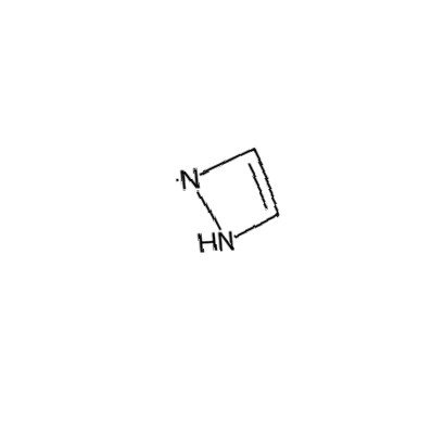 C1=CN[N]1